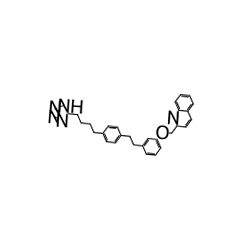 c1cc(CCc2ccc(CCCCc3nnn[nH]3)cc2)cc(OCc2ccc3ccccc3n2)c1